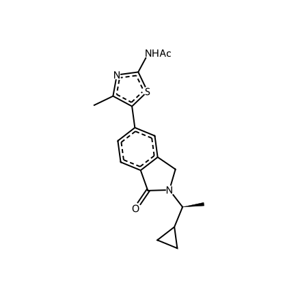 CC(=O)Nc1nc(C)c(-c2ccc3c(c2)CN([C@@H](C)C2CC2)C3=O)s1